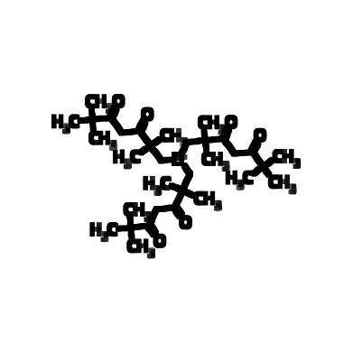 CC(C)(C)C(=O)CC(=O)C(C)(C)[CH2][Er]([CH2]C(C)(C)C(=O)CC(=O)C(C)(C)C)[CH2]C(C)(C)C(=O)CC(=O)C(C)(C)C